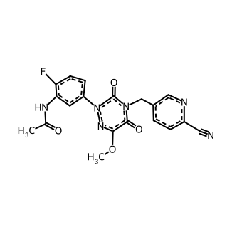 COc1nn(-c2ccc(F)c(NC(C)=O)c2)c(=O)n(Cc2ccc(C#N)nc2)c1=O